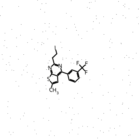 Cc1cc2c(-c3cccc(C(F)(F)F)c3)nc(CCI)nc2s1